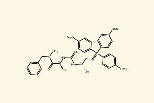 C=C(N[C@H](C(=O)N(C)Cc1ccccc1)C(C)(C)C)N[C@H](CN=P(c1ccc(OC)cc1)(c1ccc(OC)cc1)c1ccc(OC)cc1)C(C)(C)C